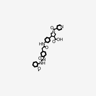 COc1ccccc1Nc1nc2ccc(CC(=O)Nc3ccc(C4CN(C(=O)c5ccncc5)CC4C(=O)O)cc3)cc2o1